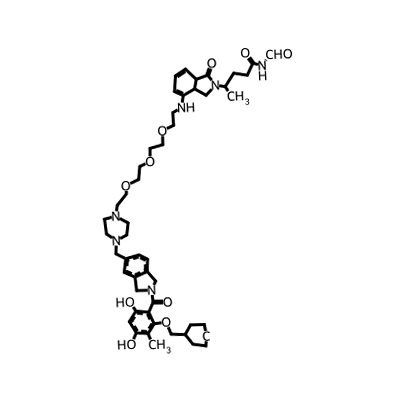 Cc1c(O)cc(O)c(C(=O)N2Cc3ccc(CN4CCN(CCOCCOCCOCCNC5=CC=CC6C(=O)N(C(C)CCC(=O)NC=O)CC56)CC4)cc3C2)c1OCC1CCCCC1